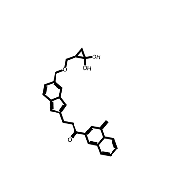 C=C1C=C(C(=O)CCC2=CC3C=C(COCC4CC4(O)O)C=CC3=C2)C=C2C=CC=CC12